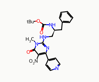 Cn1c(NC[C@H](Cc2ccccc2)NC(=O)OC(C)(C)C)nc(-c2ccncc2)c([N+](=O)[O-])c1=O